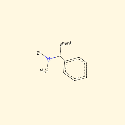 CCCCCC(c1ccccc1)N(C)CC